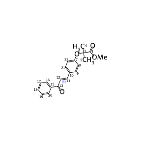 COC(=O)C(C)(C)Oc1ccc(/C=C/C(=O)c2ccccc2)cc1